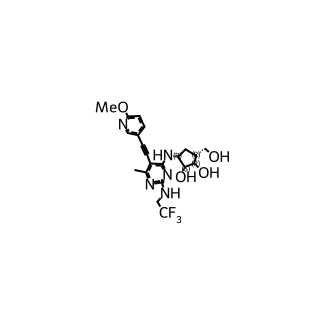 COc1ccc(C#Cc2c(C)nc(NCC(F)(F)F)nc2N[C@@H]2C[C@H](CO)[C@@H](O)[C@H]2O)cn1